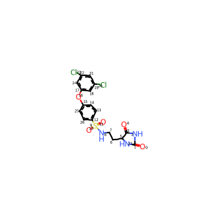 O=C1NC(=O)C(CCNS(=O)(=O)c2ccc(Oc3cc(Cl)cc(Cl)c3)cc2)N1